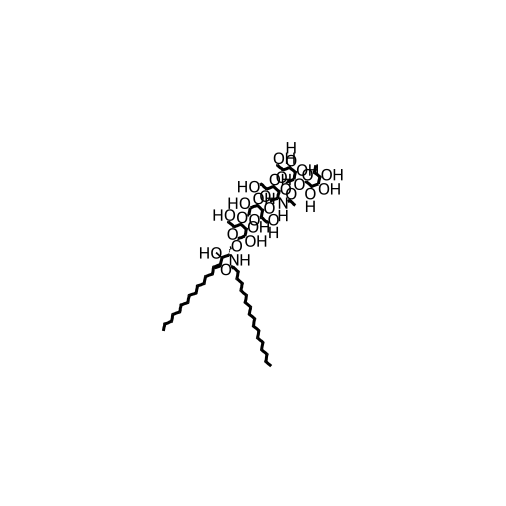 CCCCCCCCCCCCC/C=C/[C@@H](O)[C@H](CO[C@@H]1OC(CO)[C@@H](O[C@@H]2OC(CO)[C@H](O[C@@H]3OC(CO)[C@H](O)[C@H](O[C@@H]4OC(CO)[C@H](O)[C@H](O)C4O[C@H]4OC(C)[C@@H](O)C(O)[C@@H]4O)C3NC(C)=O)[C@H](O)C2O)[C@H](O)C1O)NC(=O)CCCCCCCCCCCCCCCCC